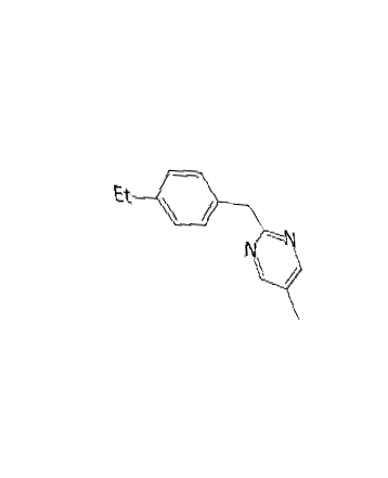 CCc1ccc(Cc2ncc(C)cn2)cc1